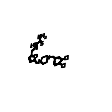 NC(=S)NN=Cc1ccc(CN2CCN(Cc3ccc(Cl)c(Cl)c3)CC2)o1